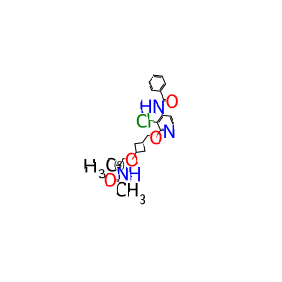 CC(=O)N[C@@H](C)COC1CC(COc2nccc(NC(=O)c3ccccc3)c2Cl)C1